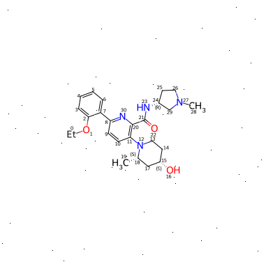 CCOc1ccccc1-c1ccc(N2CC[C@H](O)C[C@@H]2C)c(C(=O)N[C@@H]2CCN(C)C2)n1